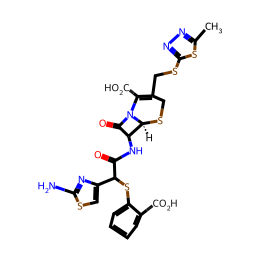 Cc1nnc(SCC2=C(C(=O)O)N3C(=O)C(NC(=O)C(Sc4ccccc4C(=O)O)c4csc(N)n4)[C@@H]3SC2)s1